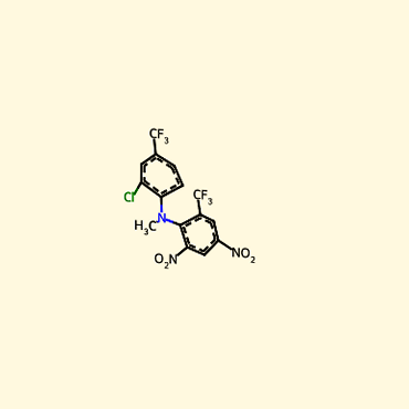 CN(c1ccc(C(F)(F)F)cc1Cl)c1c([N+](=O)[O-])cc([N+](=O)[O-])cc1C(F)(F)F